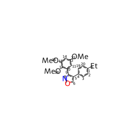 CCc1ccc(-c2conc2-c2cc(OC)cc(OC)c2OC)cc1